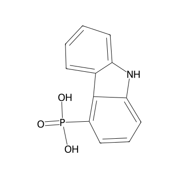 O=P(O)(O)c1cccc2[nH]c3ccccc3c12